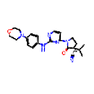 CC(C)[C@]1(C#N)CCN(c2ccnc(Nc3ccc(N4CCOCC4)cc3)n2)C1=O